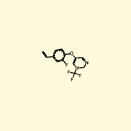 C=Cc1ccc(OC2=CN(C(F)(F)F)CN=C2)c(F)c1